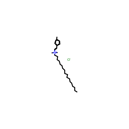 CCCCCCCCCCCCCCCCCC[N+](C)(C)C=Cc1ccc(C)cc1.[Cl-]